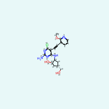 CC(C)Oc1ncccc1C#Cc1c(Cl)nc(N)nc1NC1C[C@H](CO)C[C@H]1O